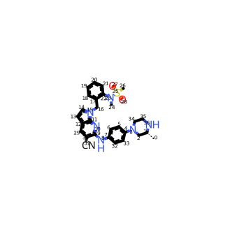 C[C@@H]1CN(c2ccc(Nc3nc4c(ccn4Cc4ccccc4N(C)S(C)(=O)=O)cc3C#N)cc2)CCN1